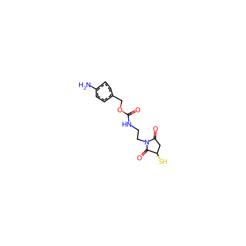 Nc1ccc(COC(=O)NCCN2C(=O)CC(S)C2=O)cc1